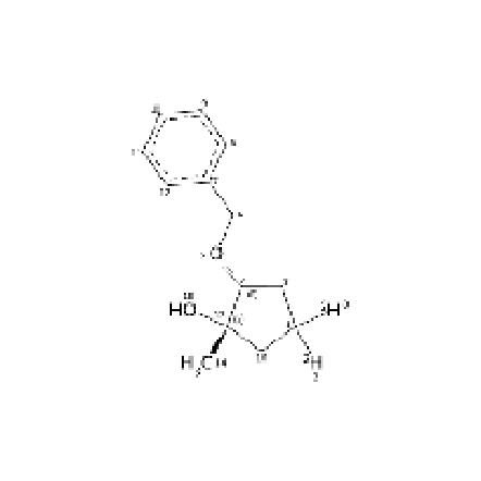 [2H]C1([2H])C[C@@H](OCc2ccccc2)[C@@](C)(O)C1